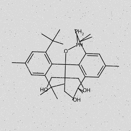 Cc1cc(C(C)(C)C)c(C(OPP)(c2c(C(C)(C)C)cc(C)cc2C(C)(C)C)C(CO)(CO)CO)c(C(C)(C)C)c1